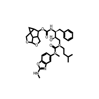 CNc1nc2cc(N(C)C(=O)N(CCC(C)C)C[C@@H](O)[C@H](Cc3ccccc3)NC(=O)OC3C4COC5OCC6(CC36)C54)ccc2o1